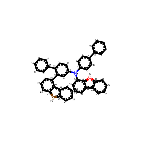 c1ccc(-c2ccc(N(c3ccc(-c4ccccc4)c(-c4cccc5sc6ccccc6c45)c3)c3cccc4c3oc3ccccc34)cc2)cc1